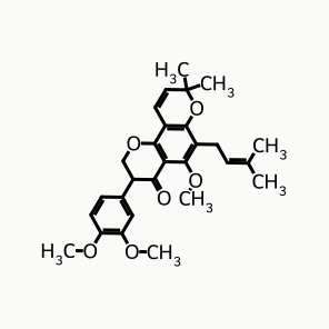 COc1ccc(C2COc3c4c(c(CC=C(C)C)c(OC)c3C2=O)OC(C)(C)C=C4)cc1OC